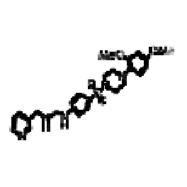 COc1ccc(N2CCN(S(=O)(=O)c3ccc(NCNCc4cccnc4)cc3)CC2)c(OC)c1